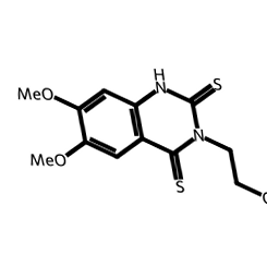 COc1cc2[nH]c(=S)n(CCO)c(=S)c2cc1OC